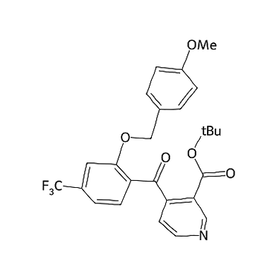 COc1ccc(COc2cc(C(F)(F)F)ccc2C(=O)c2ccncc2C(=O)OC(C)(C)C)cc1